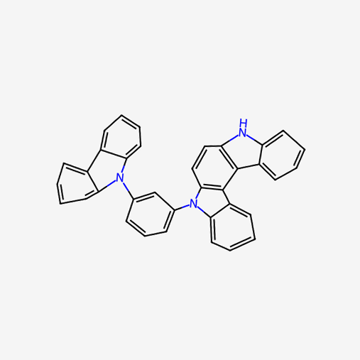 c1cc(-n2c3ccccc3c3ccccc32)cc(-n2c3ccccc3c3c4c(ccc32)[nH]c2ccccc24)c1